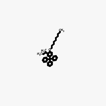 CCCCCCCCCCOc1ccc(C(c2ccccc2)(c2ccccc2)c2ccccc2)cc1C(C)CC